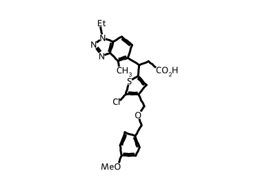 CCn1nnc2c(C)c(C(CC(=O)O)c3cc(COCc4ccc(OC)cc4)c(Cl)s3)ccc21